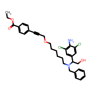 CCOC(=O)c1ccc(C#CCOCCCCCCN(Cc2ccccc2)C(CO)c2cc(Cl)c(N)c(Cl)c2)cc1